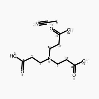 CC#N.O=C(O)CCP(CCC(=O)O)CCC(=O)O